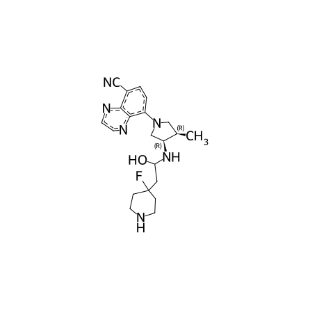 C[C@@H]1CN(c2ccc(C#N)c3nccnc23)C[C@@H]1NC(O)CC1(F)CCNCC1